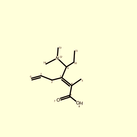 C=CCC(=C(C)C(=O)O)C(CC)N(C)C